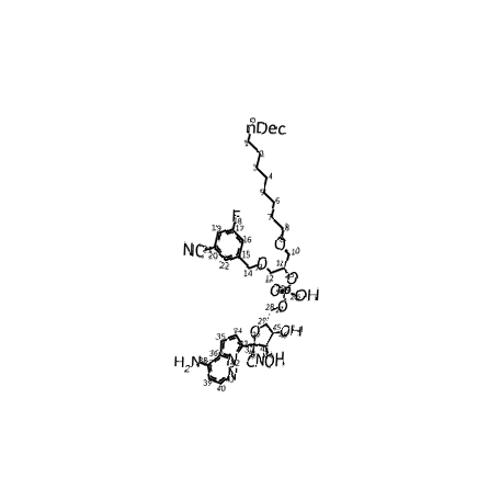 CCCCCCCCCCCCCCCCCCOC[C@H](COCc1cc(F)cc(C#N)c1)OP(=O)(O)OC[C@H]1O[C@@](C#N)(c2ccc3c(N)ccnn23)[C@H](O)[C@@H]1O